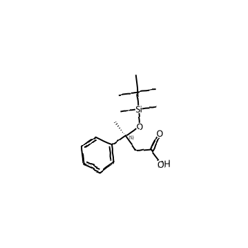 CC(C)(C)[Si](C)(C)O[C@@](C)(CC(=O)O)c1ccccc1